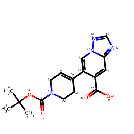 CC(C)(C)OC(=O)N1CC=C(c2cn3ncnc3cc2C(=O)O)CC1